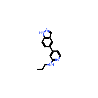 CCCNc1cc(-c2ccc3[nH]ncc3c2)ccn1